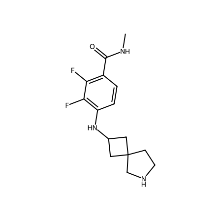 CNC(=O)c1ccc(NC2CC3(CCNC3)C2)c(F)c1F